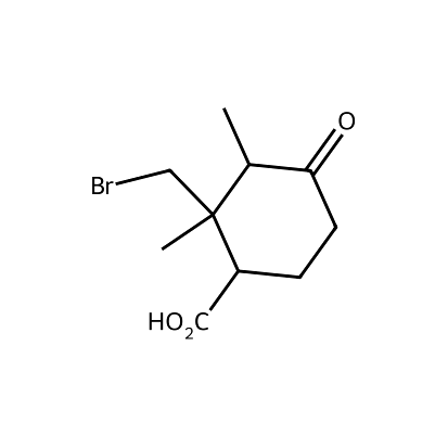 CC1C(=O)CCC(C(=O)O)C1(C)CBr